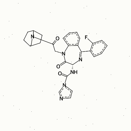 O=C(CN1C(=O)[C@@H](NC(=O)n2ccnc2)N=C(c2ccccc2F)c2ccccc21)N1CC2CCC(CC2)C1